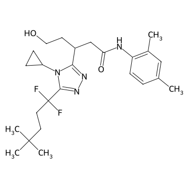 Cc1ccc(NC(=O)CC(CCO)c2nnc(C(F)(F)CCC(C)(C)C)n2C2CC2)c(C)c1